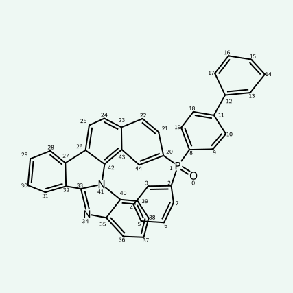 O=P(c1ccccc1)(c1ccc(-c2ccccc2)cc1)c1ccc2ccc3c4ccccc4c4nc5ccccc5n4c3c2c1